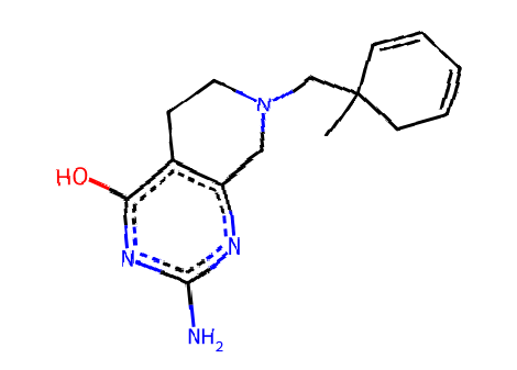 CC1(CN2CCc3c(O)nc(N)nc3C2)C=CC=CC1